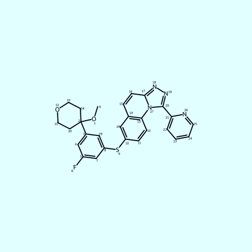 COC1(c2cc(F)cc(Sc3ccc4c(ccc5nnc(-c6ccccn6)n54)c3)c2)CCOCC1